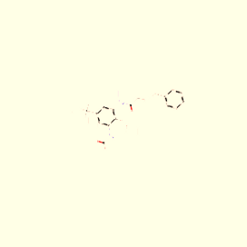 COc1c(NC(=O)O)cc(C(C)(C)C)cc1NC(=O)COCc1ccccc1